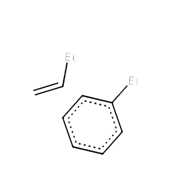 C=CCC.CCc1ccccc1